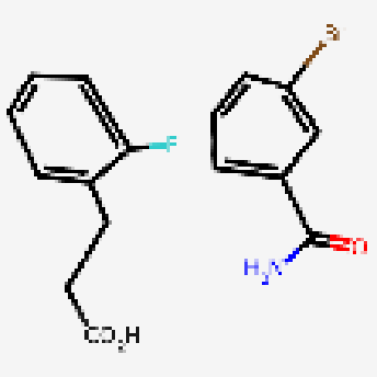 NC(=O)c1cccc(Br)c1.O=C(O)CCc1ccccc1F